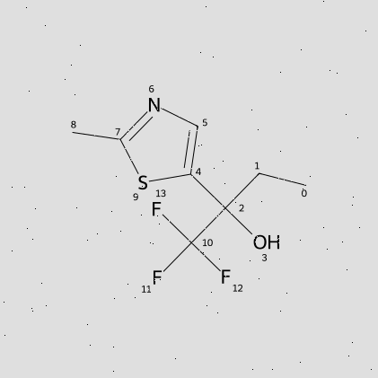 CCC(O)(c1cnc(C)s1)C(F)(F)F